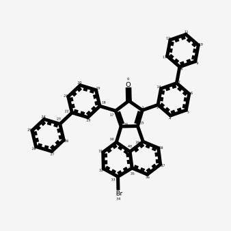 O=C1C(c2cccc(-c3ccccc3)c2)=C2C(=C1c1cccc(-c3ccccc3)c1)c1ccc(Br)c3cccc2c13